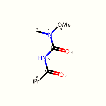 CON(C)C(=O)NC(=O)C(C)C